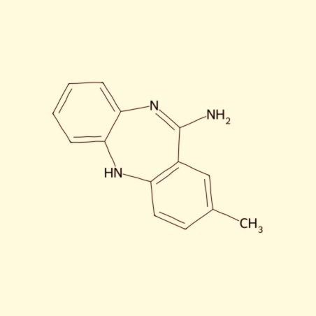 Cc1ccc2c(c1)C(N)=Nc1ccccc1N2